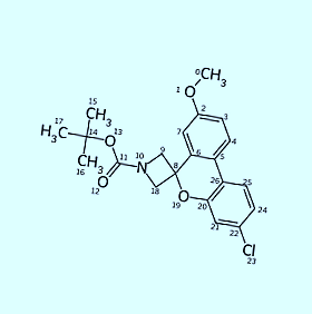 COc1ccc2c(c1)C1(CN(C(=O)OC(C)(C)C)C1)Oc1cc(Cl)ccc1-2